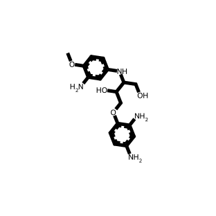 COc1ccc(NC(CO)C(O)COc2ccc(N)cc2N)cc1N